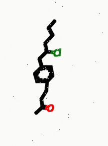 CCCCC(Cl)Cc1ccc(CCC(C)=O)cc1